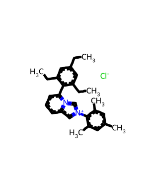 CCc1cc(CC)c(-c2cccc3c[n+](-c4c(C)cc(C)cc4C)cn23)c(CC)c1.[Cl-]